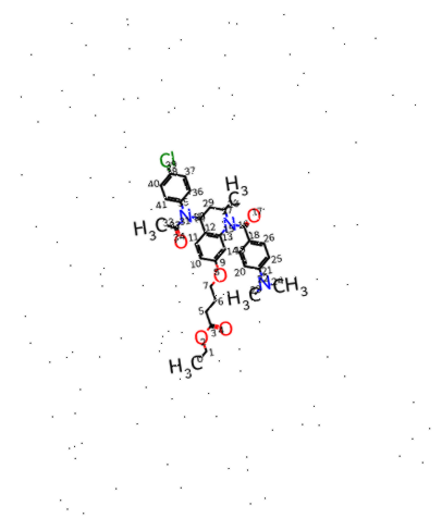 CCOC(=O)CCCOc1ccc2c(c1)N(C(=O)c1ccc(N(C)C)cc1)C(C)C[C@@H]2N(C(C)=O)c1ccc(Cl)cc1